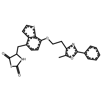 Cc1oc(-c2ccccc2)nc1CCOc1ccc(CC2NC(=O)SC2=O)c2ccsc12